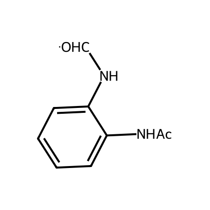 CC(=O)Nc1ccccc1N[C]=O